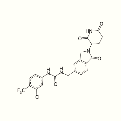 O=C1CCC(N2Cc3cc(CNC(=O)Nc4ccc(C(F)(F)F)c(Cl)c4)ccc3C2=O)C(=O)N1